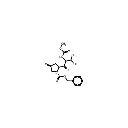 COC(=O)NC(C(=O)N1CC(=O)C[C@H]1C(=O)OCc1ccccc1)C(C)C